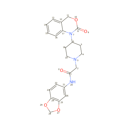 O=C(CN1CCC(N2C(=O)OCc3ccccc32)CC1)Nc1ccc2c(c1)OCO2